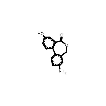 Nc1ccc2c(c1)COC(=O)c1cc(O)ccc1-2